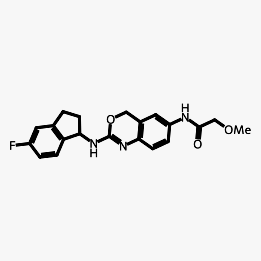 COCC(=O)Nc1ccc2c(c1)COC(NC1CCc3cc(F)ccc31)=N2